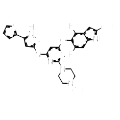 Cc1cc2c(F)c(Oc3cc(Nc4cc(-c5cccs5)[nH]n4)nc(N4CCN(C)CC4)n3)c(F)cc2[nH]1